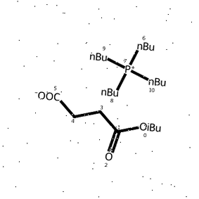 CC(C)COC(=O)CCC(=O)[O-].CCCC[P+](CCCC)(CCCC)CCCC